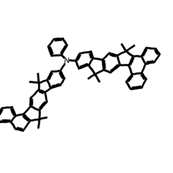 CC1(C)c2cc(N(c3ccccc3)c3ccc4c(c3)C(C)(C)c3cc5c(cc3-4)C(C)(C)c3c-5c4ccccc4c4ccccc34)ccc2-c2cc3c(cc21)-c1c(ccc2ccccc12)C3(C)C